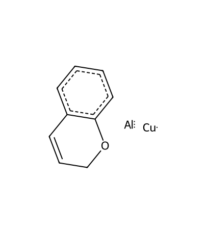 C1=Cc2ccccc2OC1.[Al].[Cu]